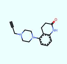 C#CCN1CCN(c2cccc3c2CCC(=O)N3)CC1